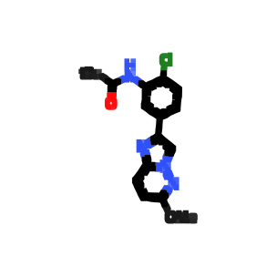 COc1ccc2nc(-c3ccc(Cl)c(NC(=O)C(C)(C)C)c3)cn2n1